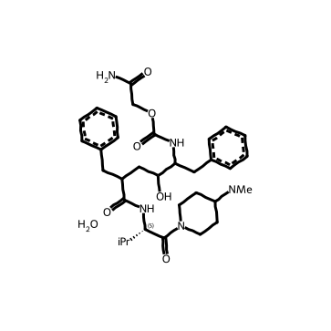 CNC1CCN(C(=O)[C@@H](NC(=O)C(Cc2ccccc2)CC(O)C(Cc2ccccc2)NC(=O)OCC(N)=O)C(C)C)CC1.O